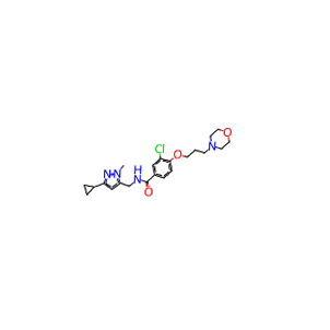 Cn1nc(C2CC2)cc1CNC(=O)c1ccc(OCCCN2CCOCC2)c(Cl)c1